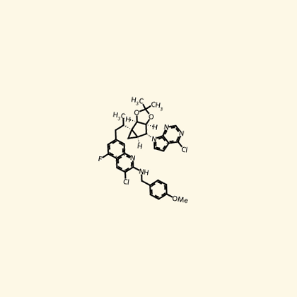 COc1ccc(CNc2nc3cc(CC(C)[C@@]45C[C@@H]4[C@@H](n4ccc6c(Cl)ncnc64)[C@@H]4OC(C)(C)O[C@@H]45)cc(F)c3cc2Cl)cc1